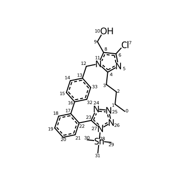 CCCCc1nc(Cl)c(CO)n1Cc1ccc(-c2ccccc2-c2nnn[n]2[Sn]([CH3])([CH3])[CH3])cc1